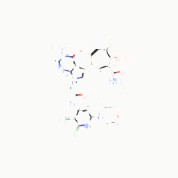 C[C@H]1COCCN1c1cc(NC(=O)Cn2cc(C3C#CC(F)=C(O)C(C(N)=O)=C3)c3c(=O)n(C)cnc32)c(Cl)c(F)n1